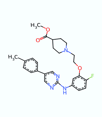 COC(=O)C1CCN(CCOc2cc(Nc3ncc(-c4ccc(C)cc4)cn3)ccc2F)CC1